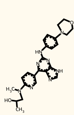 CC(O)CN(C)c1ccc(-c2nc(Nc3ccc(N4CCOCC4)cc3)nc3[nH]cnc23)cn1